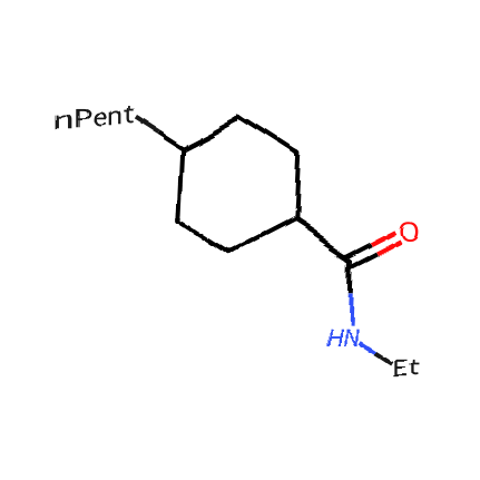 CCCCCC1CCC(C(=O)NCC)CC1